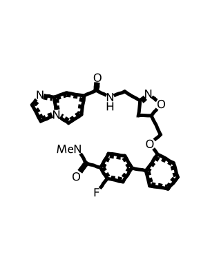 CNC(=O)c1ccc(-c2ccccc2OCC2CC(CNC(=O)c3ccn4ccnc4c3)=NO2)cc1F